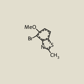 COc1ccc2sc(C)nc2c1Br